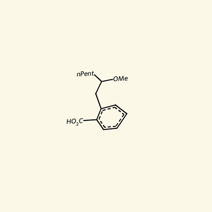 CCCCCC(Cc1ccccc1C(=O)O)OC